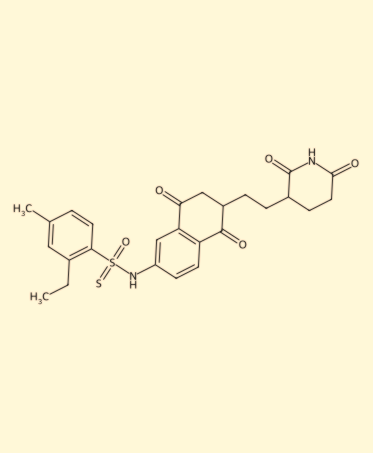 CCc1cc(C)ccc1S(=O)(=S)Nc1ccc2c(c1)C(=O)CC(CCC1CCC(=O)NC1=O)C2=O